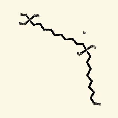 CCCCCCCCCCCCCCCCCC[N+](C)(C)CCCCCCCCCC[Si](OC)(OC)OC.[Cl-]